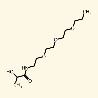 CCCOCCOCCOCCNC(=O)C(C)O